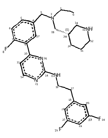 CCN(Cc1ccc(F)c(-c2ccnc(NCCc3cc(F)cc(F)c3)n2)c1)C[C@H]1CCCNC1